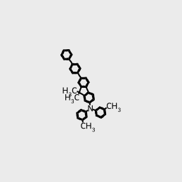 Cc1cccc(N(c2cccc(C)c2)c2ccc3c(c2)C(C)(C)c2cc(-c4ccc(-c5ccccc5)cc4)ccc2-3)c1